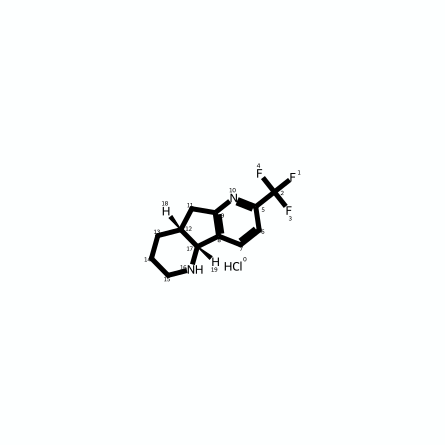 Cl.FC(F)(F)c1ccc2c(n1)C[C@H]1CCCN[C@@H]21